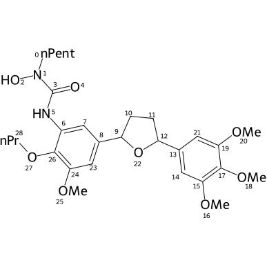 CCCCCN(O)C(=O)Nc1cc(C2CCC(c3cc(OC)c(OC)c(OC)c3)O2)cc(OC)c1OCCC